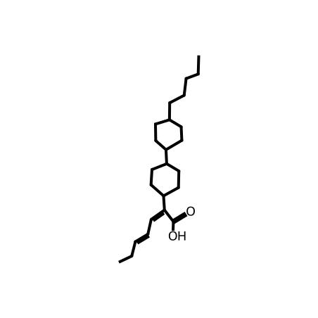 CCC=CC=C(C(=O)O)C1CCC(C2CCC(CCCCC)CC2)CC1